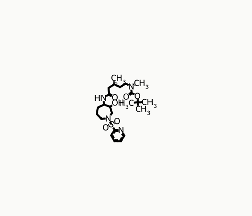 C[C@@H](CCN(C)C(=O)OC(C)(C)C)CC(=O)NC1CCCN(S(=O)(=O)c2ccccn2)CC1O